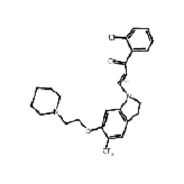 O=C(/C=C/N1CCc2cc(C(F)(F)F)c(OCCN3CCCCC3)cc21)c1ccccc1Cl